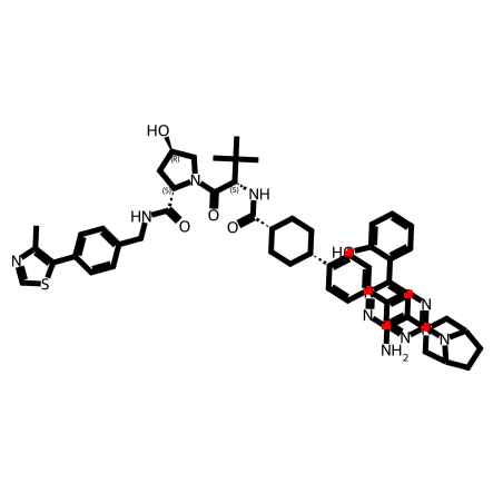 Cc1ncsc1-c1ccc(CNC(=O)[C@@H]2C[C@@H](O)CN2C(=O)[C@@H](NC(=O)[C@H]2CC[C@@H](c3ccc(-c4cnc(N5C6CCC5CN(c5cc(-c7ccccc7O)nnc5N)C6)nc4)cc3)CC2)C(C)(C)C)cc1